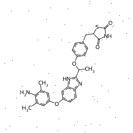 Cc1cc(Oc2ccc3nc(C(C)Oc4ccc(CC5SC(=O)NC5=O)cc4)[nH]c3c2)cc(C)c1N